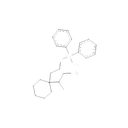 CC(CC#N)C1(CCO[Si](c2ccccc2)(c2ccccc2)C(C)(C)C)CCCCC1